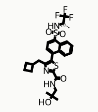 C[C@H](NS(=O)(=O)c1ccc(-c2sc(C(=O)NCC(C)(C)O)nc2CC2CCC2)c2ccccc12)C(F)(F)F